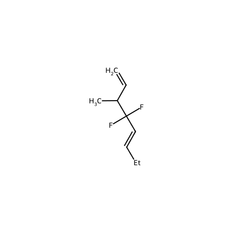 C=CC(C)C(F)(F)/C=C/CC